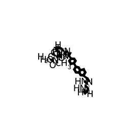 CC(C)[C@@H](C(=O)N1[C@@H]2C[C@@H]2C[C@H]1c1ncc(-c2ccc(-c3ccc4cc(-c5cnc([C@@H]6C[C@H]7C[C@H]7N6)[nH]5)ccc4c3)cc2)[nH]1)N(C)C(=O)O